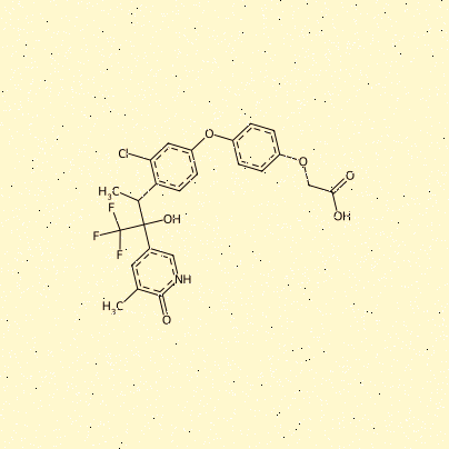 Cc1cc(C(O)(C(C)c2ccc(Oc3ccc(OCC(=O)O)cc3)cc2Cl)C(F)(F)F)c[nH]c1=O